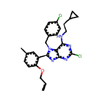 C=CCOc1ccc(C)cc1-c1nc2nc(Cl)nc(NCCC3CC3)c2n1Cc1ccc(Cl)cc1